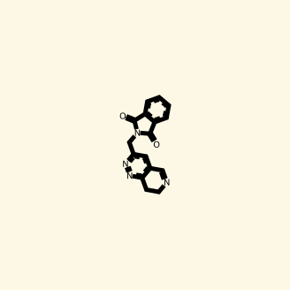 O=C1c2ccccc2C(=O)N1Cc1cc2c(nn1)CCN=C2